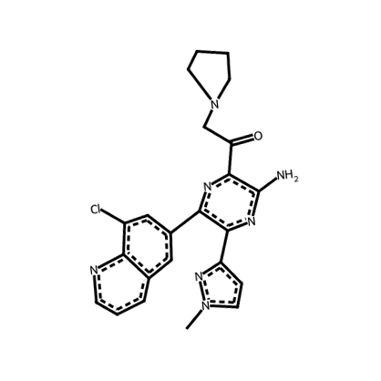 Cn1ccc(-c2nc(N)c(C(=O)CN3CCCC3)nc2-c2cc(Cl)c3ncccc3c2)n1